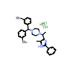 Cc1[nH]c(-c2ccccc2)nc1C(C)N1CCN(C(c2cccc(C(C)(C)C)c2)c2cccc(C(C)(C)C)c2)CC1.Cl.Cl.Cl